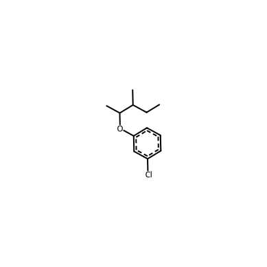 CCC(C)C(C)Oc1cccc(Cl)c1